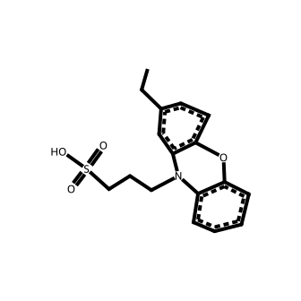 CCc1ccc2c(c1)N(CCCS(=O)(=O)O)c1ccccc1O2